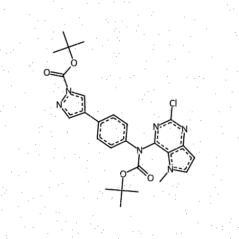 Cn1ccc2nc(Cl)nc(N(C(=O)OC(C)(C)C)c3ccc(-c4cnn(C(=O)OC(C)(C)C)c4)cc3)c21